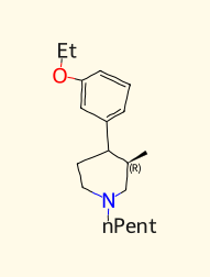 CCCCCN1CCC(c2cccc(OCC)c2)[C@@H](C)C1